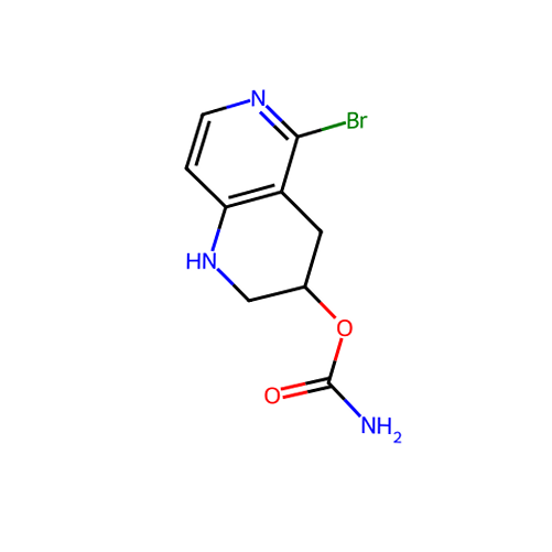 NC(=O)OC1CNc2ccnc(Br)c2C1